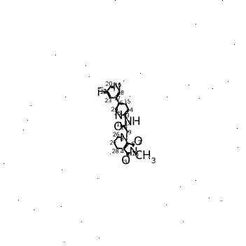 CN1C(=O)C2=C(C1=O)N(CC(=O)NC1=CCC(c3cncc(F)c3)C=N1)CCC2